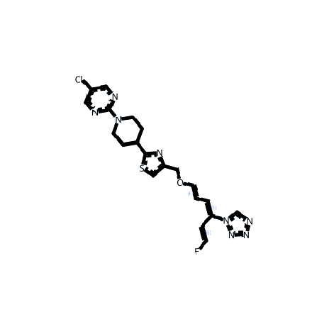 F/C=C/C(=C\C=C\OCc1csc(C2CCN(c3ncc(Cl)cn3)CC2)n1)n1cnnn1